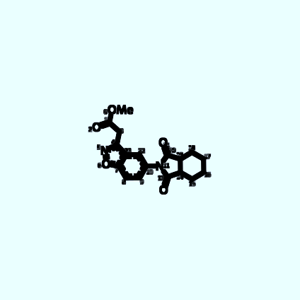 COC(=O)Cc1noc2ccc(N3C(=O)C4CCCCC4C3=O)cc12